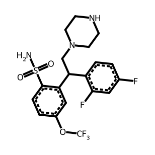 NS(=O)(=O)c1ccc(OC(F)(F)F)cc1C(CN1CCNCC1)c1ccc(F)cc1F